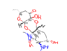 CN[C@@H]1[C@@H](O)C[C@H]2O[C@@]3(O)C(=O)C[C@@H](C)O[C@H]3O[C@]2(NC)[C@H]1O